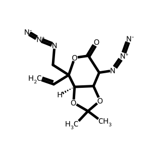 C=CC1(CN=[N+]=[N-])OC(=O)C(N=[N+]=[N-])C2OC(C)(C)O[C@H]21